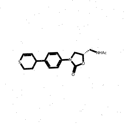 CC(=O)NC[C@H]1CN(c2ccc(C3C=CSCC3)cc2)C(=O)O1